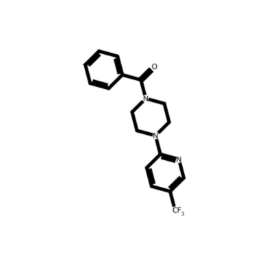 O=C(c1cc[c]cc1)N1CCN(c2ccc(C(F)(F)F)cn2)CC1